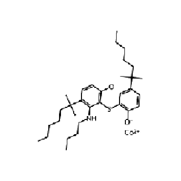 CCCCCC(C)(C)c1ccc([O-])c(Sc2c([O-])ccc(C(C)(C)CCCCC)c2NCCCC)c1.[Co+2]